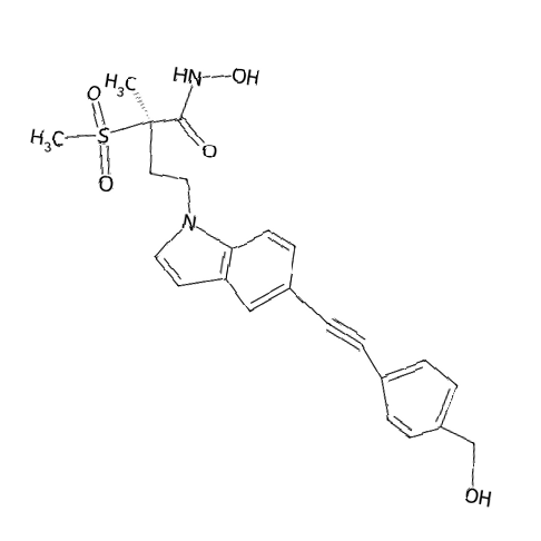 C[C@@](CCn1ccc2cc(C#Cc3ccc(CO)cc3)ccc21)(C(=O)NO)S(C)(=O)=O